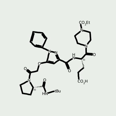 CCOC(=O)N1CCN(C(=O)[C@H](CCC(=O)O)NC(=O)c2cc(OCC(=O)N3CCC[C@H]3C(=O)NC(C)(C)C)n(-c3ccccc3)n2)CC1